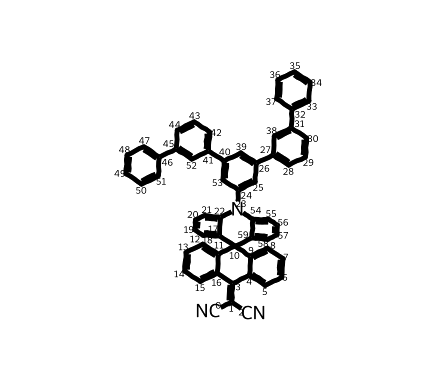 N#CC(C#N)=C1c2ccccc2C2(c3ccccc31)c1ccccc1N(c1cc(-c3cccc(-c4ccccc4)c3)cc(-c3cccc(-c4ccccc4)c3)c1)c1ccccc12